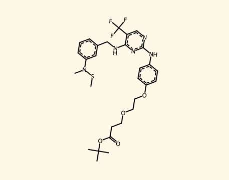 CSN(C)c1cccc(CNc2nc(Nc3ccc(OCCOCCC(=O)OC(C)(C)C)cc3)ncc2C(F)(F)F)c1